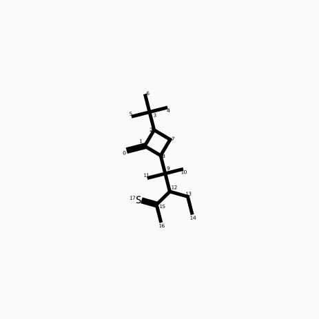 C=C1C(C(C)(C)C)CC1C(C)(C)C(CC)C(C)=S